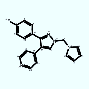 Fc1ccc(-c2nn(Cn3cccc3)cc2-c2ccncc2)cc1